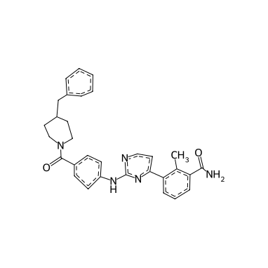 Cc1c(C(N)=O)cccc1-c1ccnc(Nc2ccc(C(=O)N3CCC(Cc4ccccc4)CC3)cc2)n1